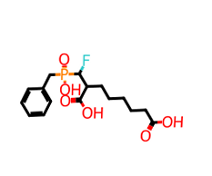 O=C(O)CCCCCC(C(=O)O)C(F)P(=O)(O)Cc1ccccc1